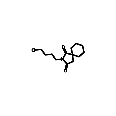 O=C1CC2(CCCCC2)C(=O)N1CCCCCl